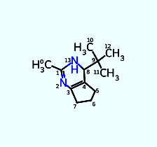 CC1=NC2=C(CCC2)C(C(C)(C)C)N1